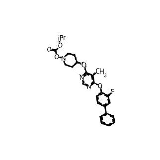 Cc1c(Oc2ccc(-c3ccccc3)cc2F)ncnc1OC1CCN(OC(=O)OC(C)C)CC1